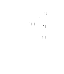 Cc1cc(-c2ccccc2)c(/C(N)=N\C=N)[nH]1